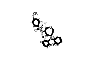 CCCN=S(=O)(N[C@@H]1COCC[C@@H](N2c3ccccc3Oc3ccccc32)[C@@H]1O)c1ccc(OC(F)(F)F)cc1